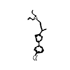 CCCN(CCC)CCC(C)c1ccc(-c2ccc(Cl)cc2)cc1